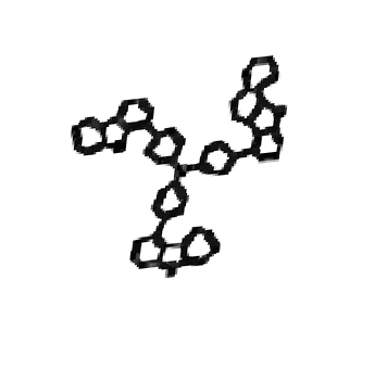 c1ccc2c(c1)ccc1c2oc2cccc(-c3ccc(N(c4ccc(-c5cccc6c5oc5ccccc56)cc4)c4ccc(-c5cccc6sc7ccccc7c56)cc4)cc3)c21